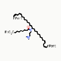 CCCCC/C=C\C/C=C\CCCCCCCCC(CCCCCCCC/C=C\C/C=C\CCCCC)N(CCCN(C)C)C(=O)CCCCCCCC(=O)OCC